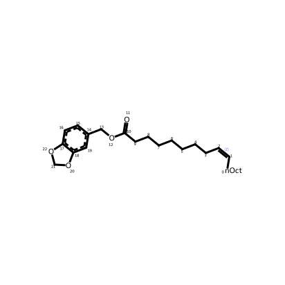 CCCCCCCC/C=C\CCCCCCCC(=O)OCc1ccc2c(c1)OCO2